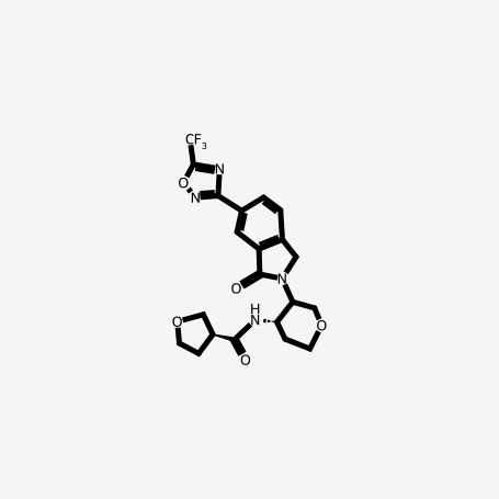 O=C(N[C@H]1CCOCC1N1Cc2ccc(-c3noc(C(F)(F)F)n3)cc2C1=O)[C@H]1CCOC1